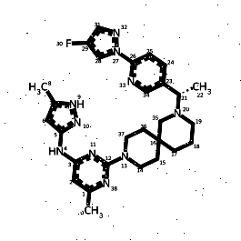 Cc1cc(Nc2cc(C)[nH]n2)nc(N2CCC3(CCCN([C@@H](C)c4ccc(-n5cc(F)cn5)nc4)C3)CC2)n1